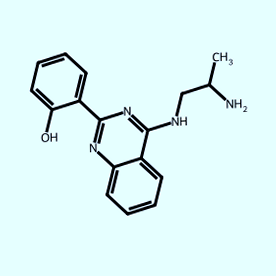 CC(N)CNc1nc(-c2ccccc2O)nc2ccccc12